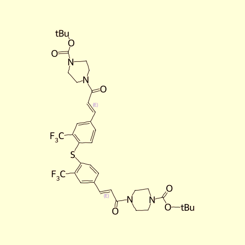 CC(C)(C)OC(=O)N1CCN(C(=O)/C=C/c2ccc(Sc3ccc(/C=C/C(=O)N4CCN(C(=O)OC(C)(C)C)CC4)cc3C(F)(F)F)c(C(F)(F)F)c2)CC1